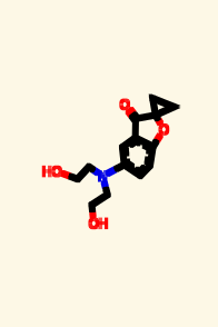 O=C1c2cc(N(CCO)CCO)ccc2OC12CC2